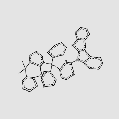 CC1(C)c2ccccc2Oc2c1cccc2[Si](c1ccccc1)(c1ccccc1)c1ccnc(-n2c3ccccc3n3c4ccccc4nc23)n1